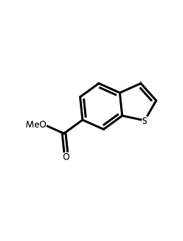 COC(=O)c1ccc2[c]csc2c1